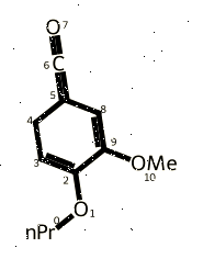 CCCOC1=CCC(=C=O)C=C1OC